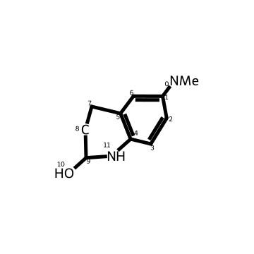 CNc1ccc2c(c1)CCC(O)N2